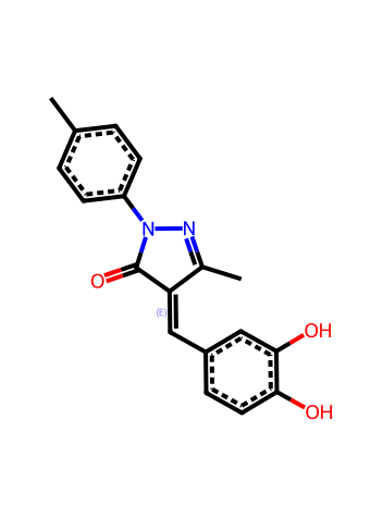 CC1=NN(c2ccc(C)cc2)C(=O)/C1=C/c1ccc(O)c(O)c1